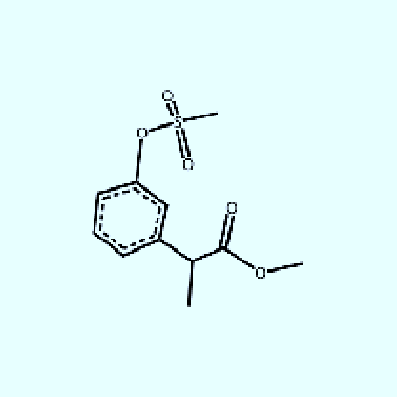 COC(=O)C(C)c1cccc(OS(C)(=O)=O)c1